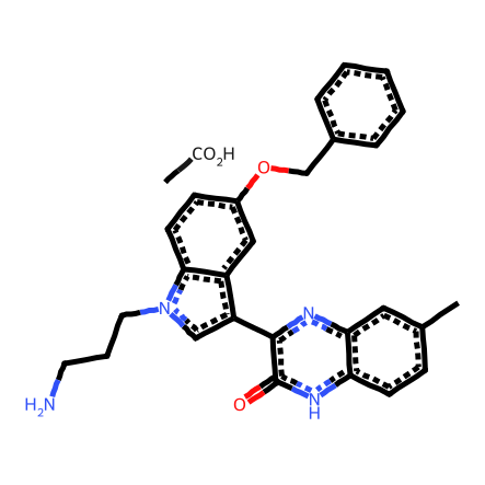 CC(=O)O.Cc1ccc2[nH]c(=O)c(-c3cn(CCCN)c4ccc(OCc5ccccc5)cc34)nc2c1